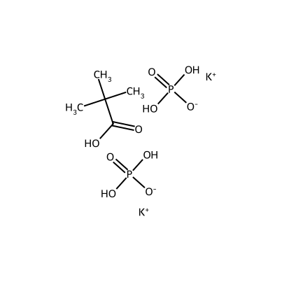 CC(C)(C)C(=O)O.O=P([O-])(O)O.O=P([O-])(O)O.[K+].[K+]